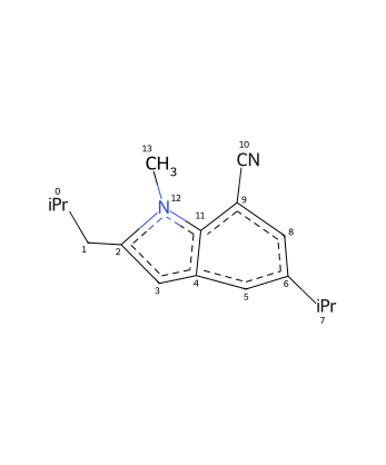 CC(C)Cc1cc2cc(C(C)C)cc(C#N)c2n1C